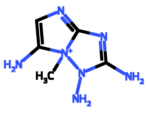 C[N+]12C(N)=CN=C1N=C(N)N2N